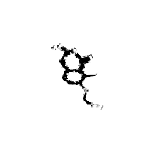 CCOc1ccc2cc(C)oc(=O)c2c1F